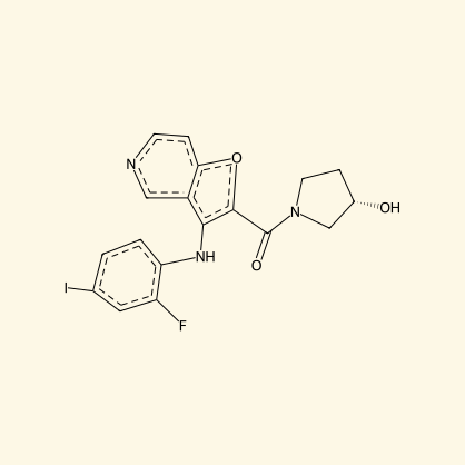 O=C(c1oc2ccncc2c1Nc1ccc(I)cc1F)N1CC[C@H](O)C1